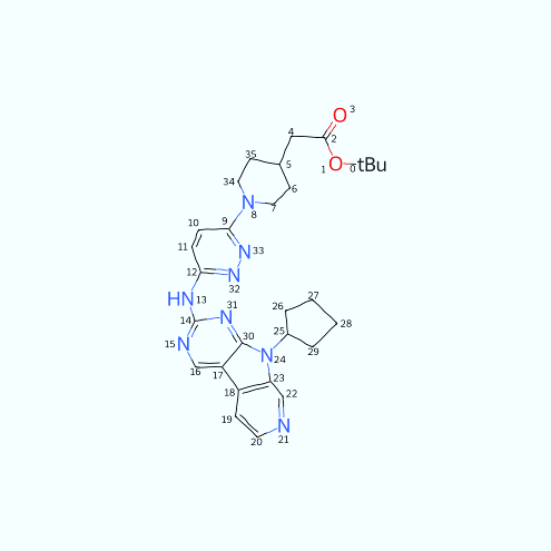 CC(C)(C)OC(=O)CC1CCN(c2ccc(Nc3ncc4c5ccncc5n(C5CCCC5)c4n3)nn2)CC1